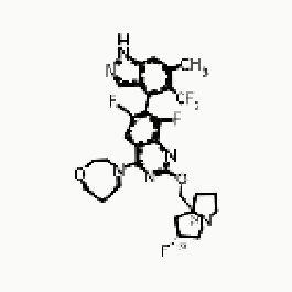 Cc1cc2[nH]ncc2c(-c2c(F)cc3c(N4CCCOCC4)nc(OC[C@@]45CCCN4C[C@H](F)C5)nc3c2F)c1C(F)(F)F